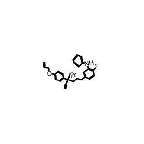 C#CC(CCCc1ccc(F)c(Nc2ccccc2)c1)(c1ccc(OCC=C)cc1)C(C)C